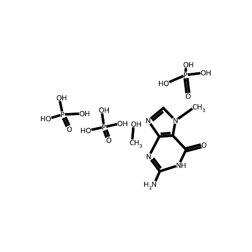 CO.Cn1cnc2nc(N)[nH]c(=O)c21.O=P(O)(O)O.O=P(O)(O)O.O=P(O)(O)O